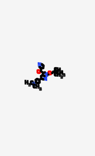 CN(C)c1ccc(-c2cnc3c(c2)c(C(=O)c2cccnc2)cn3COCC[Si](C)(C)C)cc1